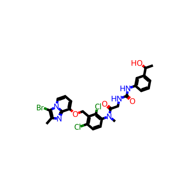 Cc1nc2c(OCc3c(Cl)ccc(N(C)C(=O)CNC(=O)Nc4cccc(C(C)O)c4)c3Cl)cccn2c1Br